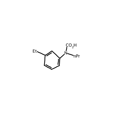 CCCN(C(=O)O)c1cccc(CC)c1